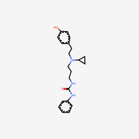 O=C(NCCCN(CCc1ccc(O)cc1)C1CC1)Nc1ccccc1